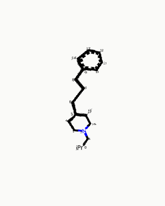 [CH2]C(C)CN1CCC(CCCc2ccccc2)CC1